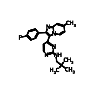 Cc1ccn2c(-c3ccnc(NCC(C)(C)C)n3)c(-c3ccc(F)cc3)nc2c1